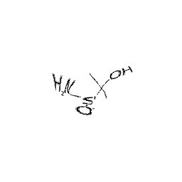 CC(C)(O)[S+](N)[O-]